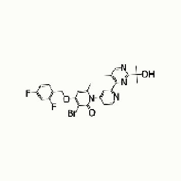 Cc1cnc(C(C)(C)O)nc1-c1cc(-n2c(C)cc(OCc3ccc(F)cc3F)c(Br)c2=O)ccn1